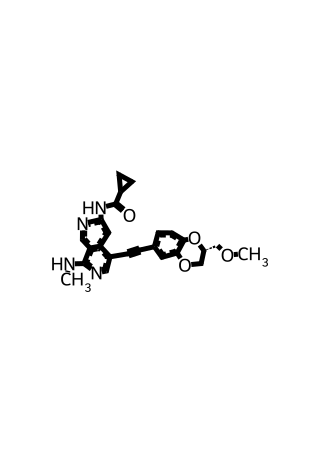 CNc1ncc(C#Cc2ccc3c(c2)OC[C@@H](COC)O3)c2cc(NC(=O)C3CC3)ncc12